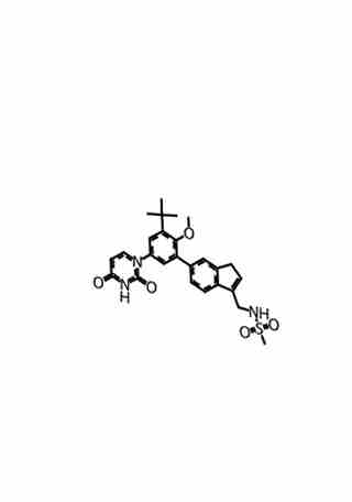 COc1c(-c2ccc3c(c2)CC=C3CNS(C)(=O)=O)cc(-n2ccc(=O)[nH]c2=O)cc1C(C)(C)C